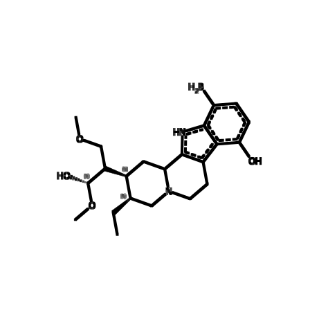 Bc1ccc(O)c2c3c([nH]c12)C1C[C@H](C(COC)[C@@H](O)OC)[C@H](CC)CN1CC3